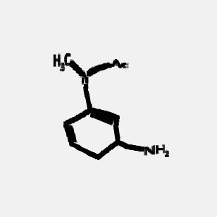 CC(=O)N(C)C1=CC(N)CC=C1